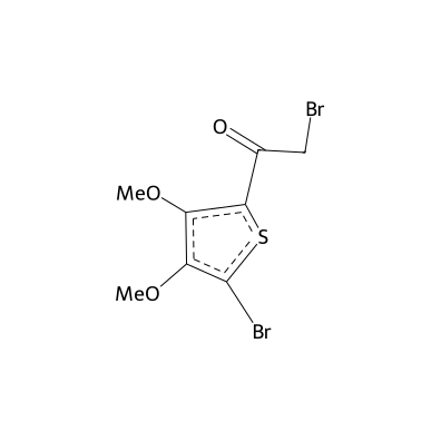 COc1c(Br)sc(C(=O)CBr)c1OC